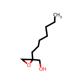 CCCCCCCC1(CO)CO1